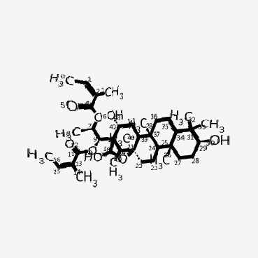 C/C=C(/C)C(=O)O[C@H](C)[C@H](OC(=O)/C(C)=C\C)C12C(O)O[C@@]3(CCC4[C@@]5(C)CC[C@H](O)C(C)(C)C5CC[C@@]4(C)[C@]3(C)C[C@H]1O)C2C